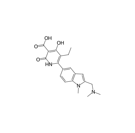 CCc1c(-c2ccc3c(c2)cc(CN(C)C)n3C)[nH]c(=O)c(C(=O)O)c1O